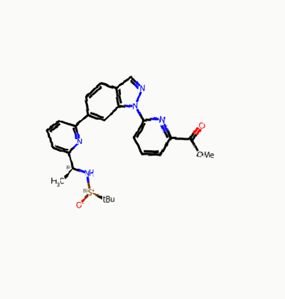 COC(=O)c1cccc(-n2ncc3ccc(-c4cccc([C@H](C)N[S@+]([O-])C(C)(C)C)n4)cc32)n1